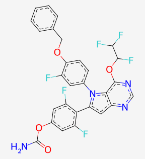 NC(=O)Oc1cc(F)c(-c2cc3ncnc(OC(F)C(F)F)c3n2-c2ccc(OCc3ccccc3)c(F)c2)c(F)c1